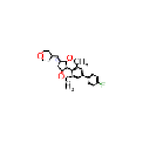 Cc1cc(-c2ccc(F)cc2)cc(C)c1C1C(=O)C/C(=C\C2CCOCC2)C1=O